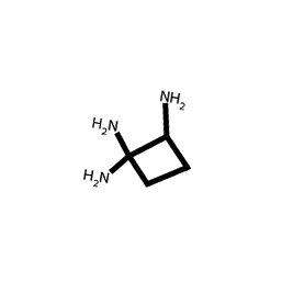 NC1CCC1(N)N